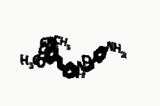 COc1cc(C=Cc2cccc(N/C=C\C(=O)c3ccc(N)cc3)c2)cc(OC)c1OC